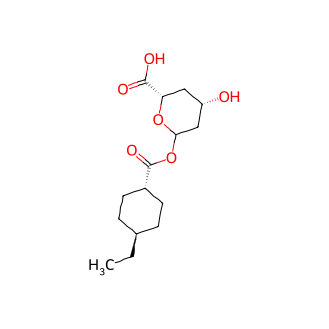 CC[C@H]1CC[C@H](C(=O)OC2C[C@@H](O)C[C@@H](C(=O)O)O2)CC1